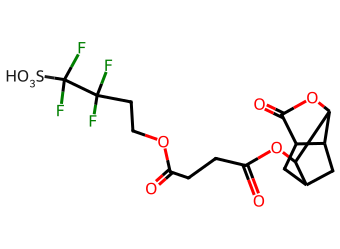 O=C(CCC(=O)OC1C2CC3C(=O)OC1C3C2)OCCC(F)(F)C(F)(F)S(=O)(=O)O